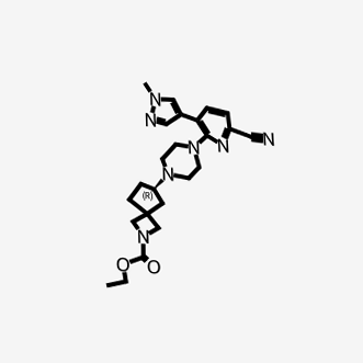 CCOC(=O)N1CC2(CC[C@@H](N3CCN(c4nc(C#N)ccc4-c4cnn(C)c4)CC3)C2)C1